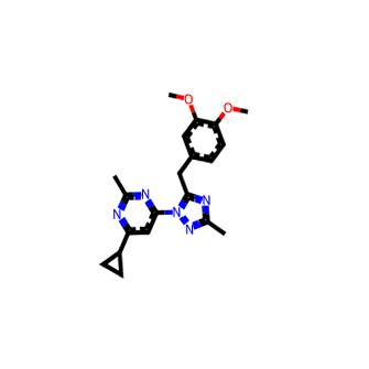 COc1ccc(Cc2nc(C)nn2-c2cc(C3CC3)nc(C)n2)cc1OC